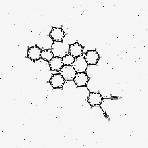 N#Cc1ccc(-c2cc(-c3ccccc3)c(-n3c4ccccc4c4c3ccc3c5ccccc5n(-c5ccccc5)c34)c(-c3ccccc3)c2)cc1C#N